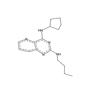 CCCCNc1nc(NC2CCCC2)c2ncccc2n1